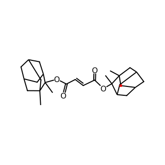 CC12CC3CC(CC(C3)C1(C)OC(=O)C=CC(=O)OC1(C)C3CC4CC(C3)CC1(C)C4)C2